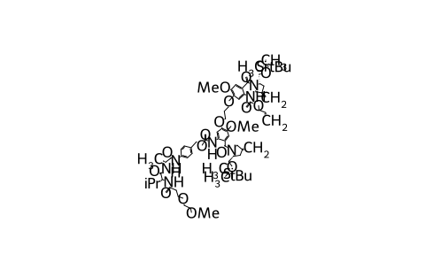 C=CCOC(=O)Nc1cc(OCCCOc2cc(NC(=O)OCc3ccc(NC(=O)[C@H](C)NC(=O)[C@@H](NC(=O)CCOCCOC)C(C)C)cc3)c(C(=O)N3CC(=C)C[C@H]3CO[Si](C)(C)C(C)(C)C)cc2OC)c(OC)cc1C(=O)N1CC(=C)C[C@H]1CO[Si](C)(C)C(C)(C)C